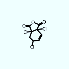 O=C1OC(=O)C2(Cl)CC(Cl)C=CC12Cl